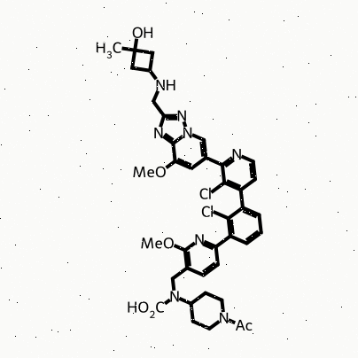 COc1nc(-c2cccc(-c3ccnc(-c4cc(OC)c5nc(CNC6CC(C)(O)C6)nn5c4)c3Cl)c2Cl)ccc1CN(C(=O)O)C1CCN(C(C)=O)CC1